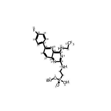 CCC(C)OP(=O)(O)CCNc1nc(NCC(F)(F)F)c2nc(-c3ccc(F)cc3)ccc2n1